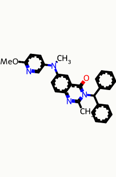 COc1ccc(N(C)c2ccc3nc(C)n(C(c4ccccc4)c4ccccc4)c(=O)c3c2)cn1